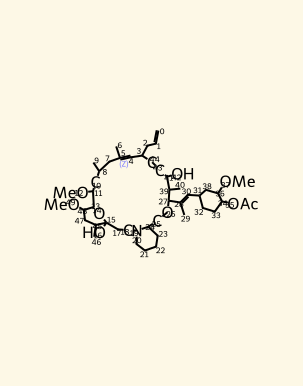 C=CCC1/C=C(/C)CC(C)CC(OC)C2OC(O)(CCN3CCCCC3COC(C(C)=CC3CCC(OC(C)=O)C(OC)C3)C(C)C(O)CC1)C(C)CC2OC